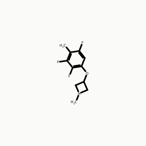 Cc1c(F)cc(OC2CN(C)C2)c(F)c1F